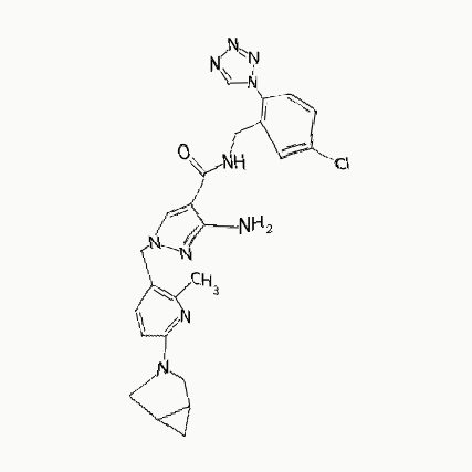 Cc1nc(N2CC3CC3C2)ccc1Cn1cc(C(=O)NCc2cc(Cl)ccc2-n2cnnn2)c(N)n1